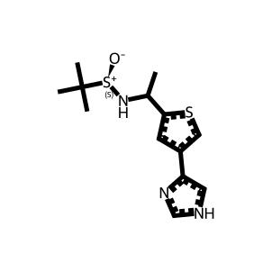 CC(N[S@+]([O-])C(C)(C)C)c1cc(-c2c[nH]cn2)cs1